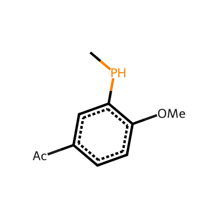 COc1ccc(C(C)=O)cc1PC